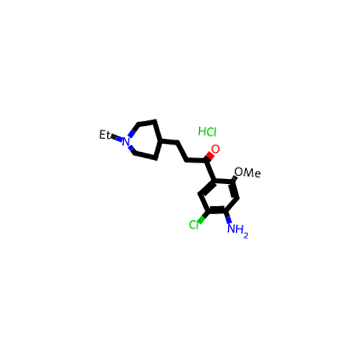 CCN1CCC(CCC(=O)c2cc(Cl)c(N)cc2OC)CC1.Cl